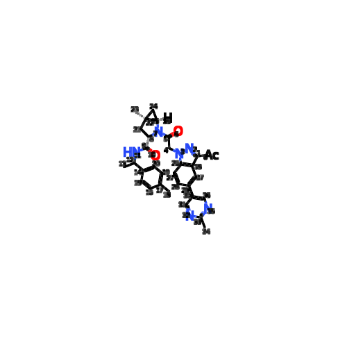 CC(=O)c1nn(CC(=O)N2[C@H](C(=O)NC(C)c3ccc(C)cc3)C[C@@]3(C)C[C@@H]23)c2ccc(-c3cnc(C)nc3)cc12